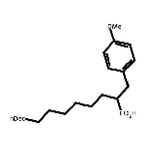 CCCCCCCCCCCCCCCCC(Cc1ccc(OC)cc1)C(=O)O